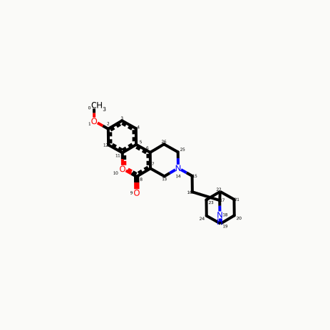 COc1ccc2c3c(c(=O)oc2c1)CN(CCC1NC2CCC1CC2)CC3